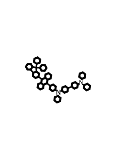 c1ccc(N(c2ccccc2)c2ccc(-c3ccc(N(c4ccccc4)c4ccc(-c5c6ccccc6c(-c6ccc7c(c6)C(c6ccccc6)(c6ccccc6)c6ccccc6-7)c6ccccc56)cc4)cc3)cc2)cc1